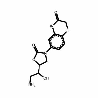 NCC(O)[C@@H]1CN(c2ccc3c(c2)NC(=O)CO3)C(=O)O1